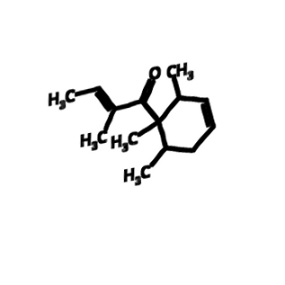 C/C=C(\C)C(=O)C1(C)C(C)C=CCC1C